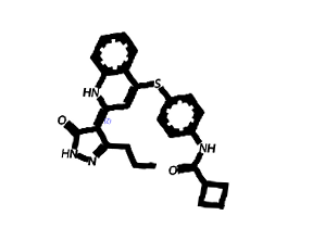 CCCC1=NNC(=O)/C1=C1/C=C(Sc2ccc(NC(=O)C3CCC3)cc2)c2ccccc2N1